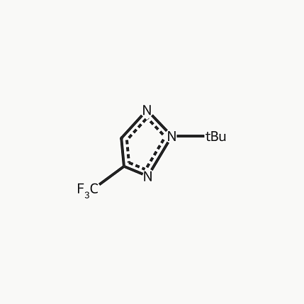 CC(C)(C)n1ncc(C(F)(F)F)n1